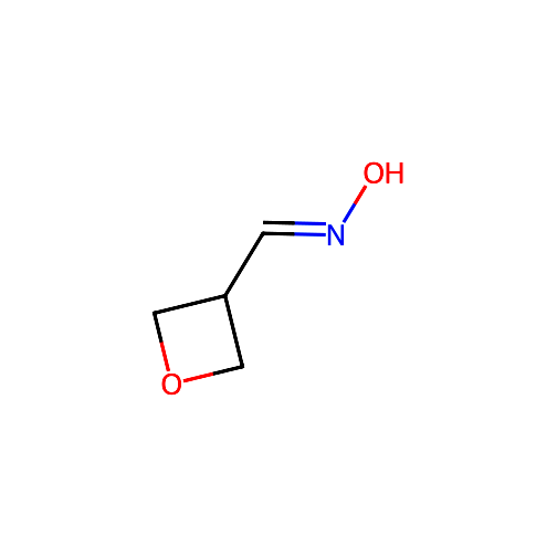 ON=CC1COC1